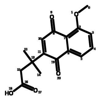 COc1cccc2c1C(=O)C=C(C(C)(C)CC(=O)O)C2=O